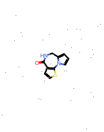 O=C1NCc2cccn2-c2sccc21